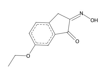 CCOc1ccc2c(c1)C(=O)C(=NO)C2